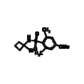 CCC1(NS(=O)(=O)c2c(C)cc(OC)cc2C)CCC1